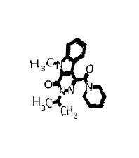 CC(C)n1nc(C(=O)N2CCCCC2)c2c3ccccc3n(C)c2c1=O